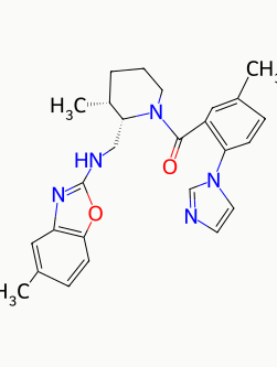 Cc1ccc(-n2ccnc2)c(C(=O)N2CCC[C@@H](C)[C@H]2CNc2nc3cc(C)ccc3o2)c1